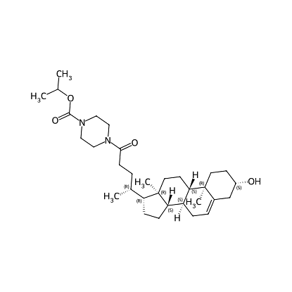 CC(C)OC(=O)N1CCN(C(=O)CC[C@@H](C)[C@H]2CC[C@H]3[C@@H]4CC=C5C[C@@H](O)CC[C@]5(C)[C@H]4CC[C@]23C)CC1